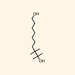 CC(C)(O)C(C)(C)CCCCCCCO